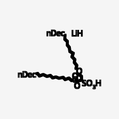 CCCCCCCCCCCCCCCCCCCCCCOC(=O)CC(C(=O)OCCCCCCCCCCCCCCCCCCCCCC)S(=O)(=O)O.[LiH]